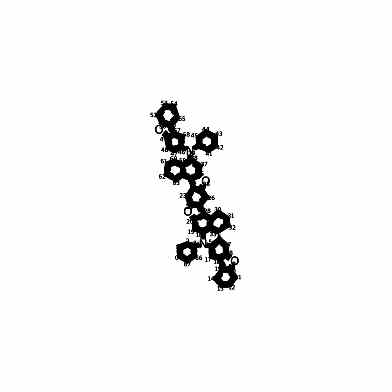 c1ccc(N(c2ccc3oc4ccccc4c3c2)c2cc3oc4cc5c(cc4c3c3ccccc23)oc2cc(N(c3ccccc3)c3ccc4oc6ccccc6c4c3)c3ccccc3c25)cc1